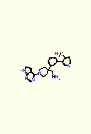 Cc1ccncc1-c1cccc(C2(CN)CCN(c3ncnc4[nH]ccc34)CC2)c1